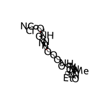 CC[C@@H]1C(=O)N(C)c2cnc(N(C)c3ccc(C(=O)NCCOCCOCCOC4CCN(c5ncc(C(=O)NC6C(C)(C)C(Oc7ccc(C#N)c(Cl)c7)C6(C)C)cn5)CC4)cc3OC)nc2N1C1CCCC1